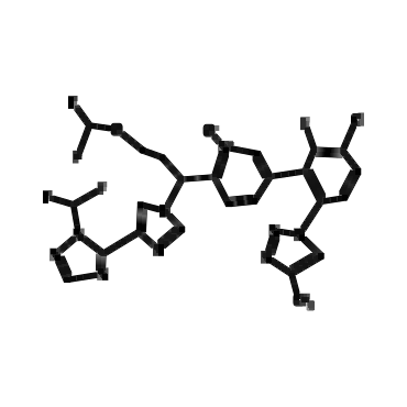 [O-][n+]1cc(-c2c(-n3cc(C(F)(F)F)nn3)ccc(Cl)c2F)ccc1C(CCOC(F)F)n1cnc(-c2ncnn2C(F)F)c1